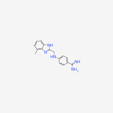 Cc1[c]ccc2[nH]c(CNc3ccc(C(=N)N)cc3)nc12